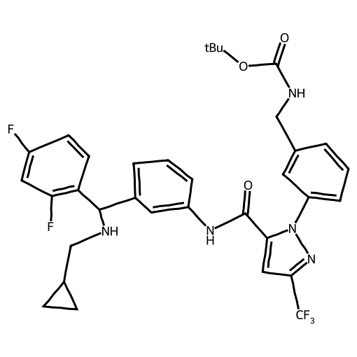 CC(C)(C)OC(=O)NCc1cccc(-n2nc(C(F)(F)F)cc2C(=O)Nc2cccc(C(NCC3CC3)c3ccc(F)cc3F)c2)c1